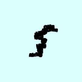 CNC(=O)c1ccc(NC(=O)c2cccc(-c3cn4ccnc4c(Nc4ccc(OC)c(OC)c4)n3)c2)cn1